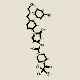 CCN(CC1CC=C(n2ccc(NC(=O)N3CCN(C(=O)C(C)(C)N)CC3)nc2=O)CC1)[C@H]1CC[C@H](N)CC1